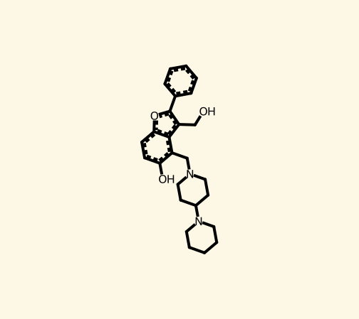 OCc1c(-c2ccccc2)oc2ccc(O)c(CN3CCC(N4CCCCC4)CC3)c12